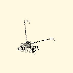 CCCCCCCCCCCCCCCCCCNC(=O)C1(C(=O)NCCCCCCCCCCCCCCCCCC)CC(/C=C/C2=[N+](CC)c3ccccc3C2(C)C)=CC(=C/C=C2/N(CC)c3ccccc3C2(C)C)/C1